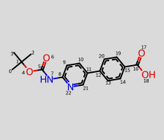 CC(C)(C)OC(=O)Nc1ccc(-c2ccc(C(=O)O)cc2)cn1